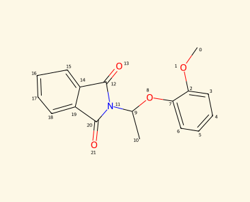 COc1ccccc1OC(C)N1C(=O)c2ccccc2C1=O